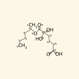 CCCCC(C)OC(=O)C(O)(O)CCCC(=O)O